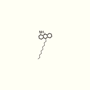 CCCCCCCCCCc1c2ccccc2cc2c(N)cccc12